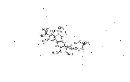 C=C(O)C1=CN2C(=CC1=C)c1cc(CC)c(/C(C=N)=C/NC3CCN(C)CC3)cc1CC2C(C)(C)C